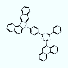 c1ccc(-c2nc(-c3ccc(-n4c5cc6ccccc6cc5c5c6ccccc6ccc54)cc3)nc(-c3cc4ccccc4c4ccccc34)n2)cc1